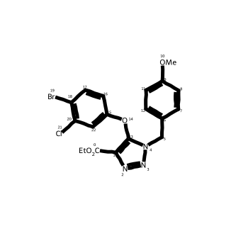 CCOC(=O)c1nnn(Cc2ccc(OC)cc2)c1Oc1ccc(Br)c(Cl)c1